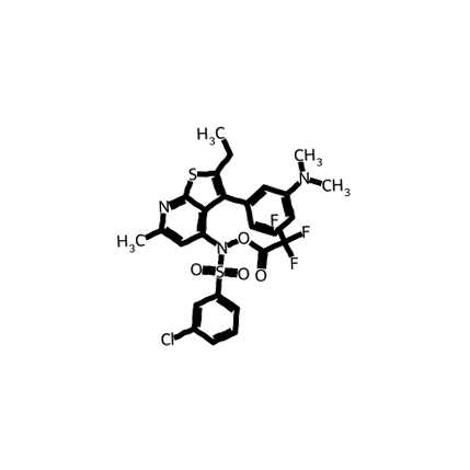 CCc1sc2nc(C)cc(N(OC(=O)C(F)(F)F)S(=O)(=O)c3cccc(Cl)c3)c2c1-c1cccc(N(C)C)c1